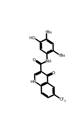 CC(C)(C)c1cc(C(C)(C)C)c(NC(=O)c2c[nH]c3ccc(C(F)(F)F)cc3c2=O)cc1O